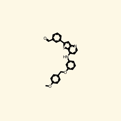 COc1ccc(COc2cccc(Nc3ccnc4cc(-c5cccc(C=O)c5)sc34)c2)cc1